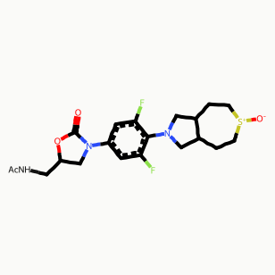 CC(=O)NCC1CN(c2cc(F)c(N3CC4CC[S+]([O-])CCC4C3)c(F)c2)C(=O)O1